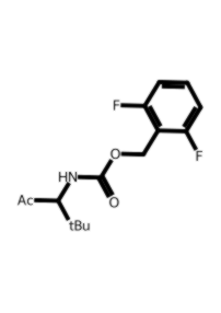 CC(=O)C(NC(=O)OCc1c(F)cccc1F)C(C)(C)C